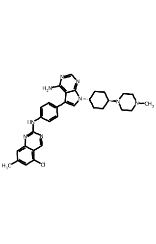 Cc1cc(Cl)c2cnc(Nc3ccc(-c4cn([C@H]5CC[C@H](N6CCN(C)CC6)CC5)c5ncnc(N)c45)cc3)nc2c1